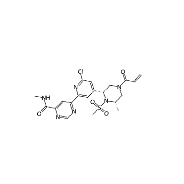 C=CC(=O)N1C[C@H](C)N(S(C)(=O)=O)[C@H](c2cc(Cl)nc(-c3cc(C(=O)NC)ncn3)c2)C1